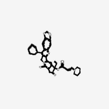 CCC1(OC(=O)CCN2CCCCC2)C(=O)Cc2c1cc1n(c2=O)Cc2c-1nc1cc3c(cc1c2C1CCCCC1)OCO3